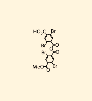 COC(=O)c1cc(Br)c(C(=O)OC(=O)c2cc(Br)c(C(=O)O)cc2Br)cc1Br